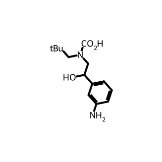 CC(C)(C)CN(CC(O)c1cccc(N)c1)C(=O)O